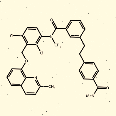 CNC(=O)c1ccc(CCc2cccc(C(=O)N(C)c3ccc(Cl)c(COc4cccc5ccc(C)nc45)c3Cl)c2)cc1